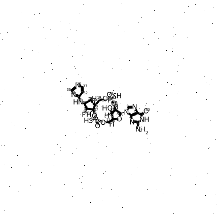 Nc1nc2c(ncn2[C@@H]2O[C@@H]3CO[P@@](=O)(S)O[C@@H]4[C@@H](CO[P@@](=O)(S)O[C@@H]2[C@@H]3O)C[C@@H](Nc2ccncn2)[C@@H]4F)c(=O)[nH]1